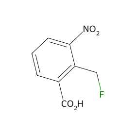 O=C(O)c1cccc([N+](=O)[O-])c1CF